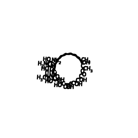 CNC(=O)NC1[C@@H]2CC(OC3OC(N)C(O)C(N)C3O)/C=C/C=C/C=C/C=C/C=C/C=C/C=C/C(C)C(O)C[C@H](C)OC(=O)CC(O)CC(O)CCC(O)C(O)CC(O)CC(O)(C[C@@H]1O)O2